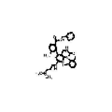 Cc1ccc(C(=O)NCc2ccccc2)cc1-c1nc(NCCCN(C)C)nc2c1CNC(=O)N2c1c(F)cccc1F